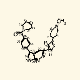 CN1CCC(c2n[nH]c(-c3cc4c(-c5ccc(C(=O)N6CCOCC6)cc5)c[nH]c4nn3)c2F)CC1